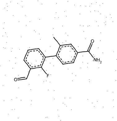 Cc1cc(C(N)=O)ccc1-c1cccc(C=O)c1F